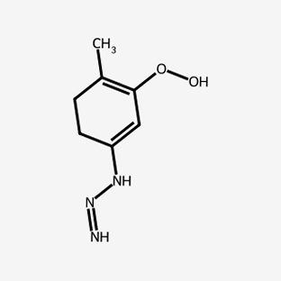 CC1=C(OO)C=C(NN=N)CC1